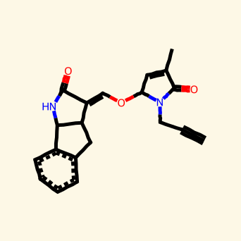 C#CCN1C(=O)C(C)=CC1OC=C1C(=O)NC2c3ccccc3CC12